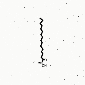 CCCCCCCCCCCCCCCC(=O)N(O)I